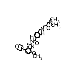 COc1ccc(N2CCOCC2)c2sc(NC(=O)c3ccc(CNCC(=O)CN(C)C)cc3)nc12